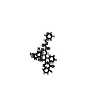 Cc1cccc2nc(C(CCCCNC(=O)OCc3ccccc3)Nc3nc(N)nc4[nH]cnc34)n(-c3ccccc3)c(=O)c12